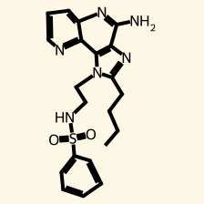 CCCCc1nc2c(N)nc3cccnc3c2n1CCNS(=O)(=O)c1ccccc1